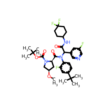 CO[C@@H]1C[C@H](C(=O)N(c2ccc(C(C)(C)C)cc2F)C(C(=O)NC2CCC(F)(F)CC2)c2cncc(F)c2)N(C(=O)OC(C)(C)C)C1